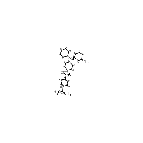 C1CC[CH]([Ru]([CH]2CCCCC2)[CH]2CCCCC2)CC1.CC(C)c1ccc(C(Cl)Cl)cc1.P